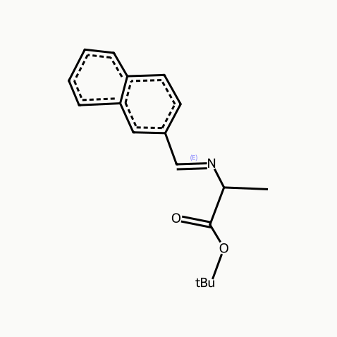 CC(/N=C/c1ccc2ccccc2c1)C(=O)OC(C)(C)C